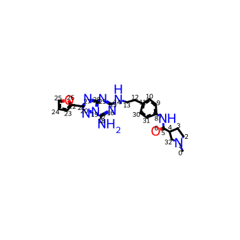 CN1CCC(C(=O)Nc2ccc(CCNc3nc(N)n4nc(-c5ccco5)nc4n3)cc2)C1